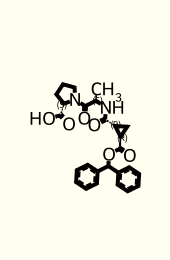 C[C@H](NC(=O)[C@@H]1C[C@H]1C(=O)OC(c1ccccc1)c1ccccc1)C(=O)N1CCC[C@H]1C(=O)O